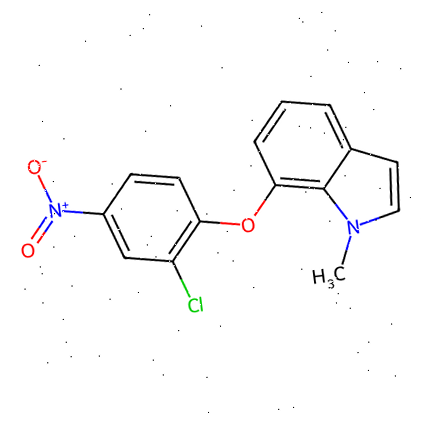 Cn1ccc2cccc(Oc3ccc([N+](=O)[O-])cc3Cl)c21